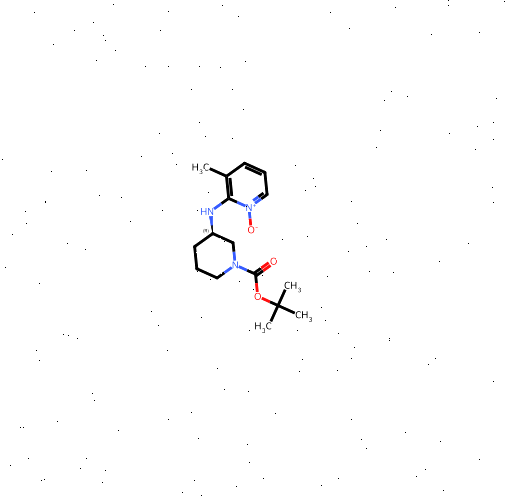 Cc1ccc[n+]([O-])c1N[C@@H]1CCCN(C(=O)OC(C)(C)C)C1